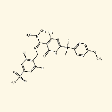 COc1ccc(C(F)(F)c2nc(C)c(/C(=N\Cc3c(Cl)cc(S(N)(=O)=O)cc3Cl)N(C)C)c(=O)[nH]2)cc1